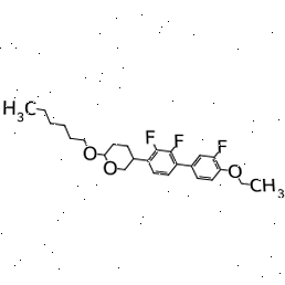 CCCCCCOC1CCC(c2ccc(-c3ccc(OCC)c(F)c3)c(F)c2F)CO1